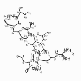 CCCC(NC(=O)[C@H](CCCNC(=N)N)NC(=O)[C@@H](CC(C)C)C(C)C(C)C[C@H](CCCC(CC)CC(=N)C(C)CC)NC(=O)CN)C(N)=O